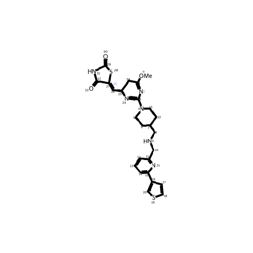 COC1=NC(N2CCC(CNCc3cccc(-c4ccsc4)n3)CC2)=NC(/C=C2\SC(=O)NC2=O)C1